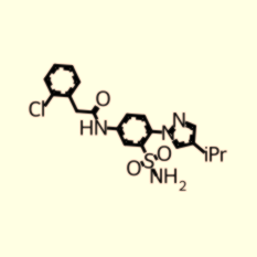 CC(C)c1cnn(-c2ccc(NC(=O)Cc3ccccc3Cl)cc2S(N)(=O)=O)c1